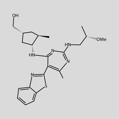 CO[C@@H](C)CNc1nc(C)c(-c2nc3ccccc3s2)c(N[C@@H]2C[C@H](CO)C[C@H]2C)n1